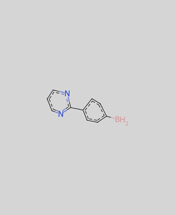 Bc1ccc(-c2ncccn2)cc1